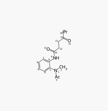 CC(=O)N(C)c1ccccc1NC(=O)CCC(=O)C(C)C